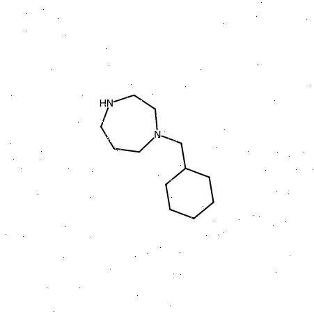 C1CCC(CN2CCCNCC2)CC1